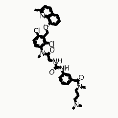 Cc1ccc2cccc(OCc3c(Cl)ccc(N(C)C(=O)CNC(=O)Nc4cccc(C(=O)N(C)CCCN(C)C)c4)c3Cl)c2n1